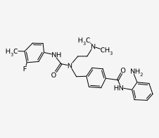 Cc1ccc(NC(=O)N(CCN(C)C)Cc2ccc(C(=O)Nc3ccccc3N)cc2)cc1F